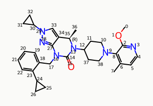 COc1nccc(C)c1N1CCC(N2C(=O)N(Cc3ccccc3C3CC3)c3nn(C4CC4)cc3[C@H]2C)CC1